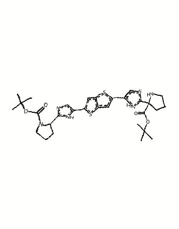 CC(C)(C)OC(=O)N1CCCC1c1ncc(-c2cc3sc(-c4cnc(C5(C(=O)OC(C)(C)C)CCCN5)[nH]4)cc3s2)[nH]1